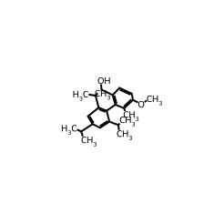 COc1ccc(CO)c(-c2c(C(C)C)cc(C(C)C)cc2C(C)C)c1C